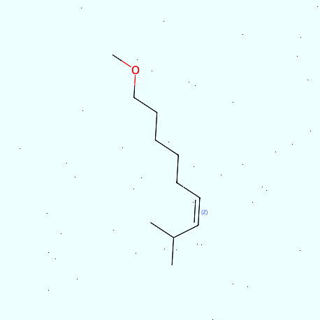 COCCCCC/C=C\C(C)C